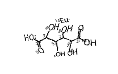 O=C(O)C(O)C(O)C(O)C(O)C(=O)O.[Eu]